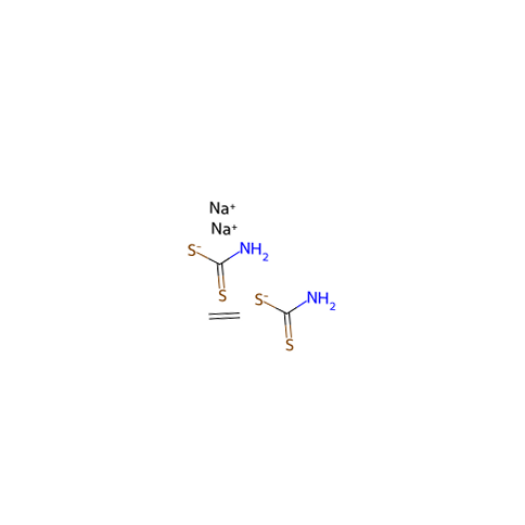 C=C.NC(=S)[S-].NC(=S)[S-].[Na+].[Na+]